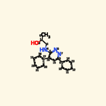 CC(O)CNc1nnc(-c2ccccc2)cc1-c1ccccc1